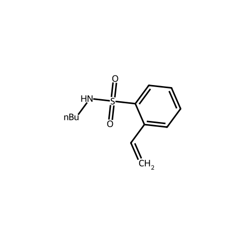 [CH2]CCCNS(=O)(=O)c1ccccc1C=C